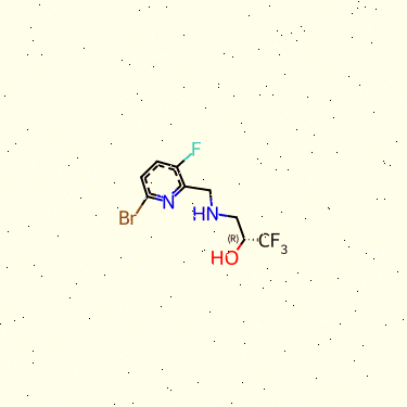 O[C@H](CNCc1nc(Br)ccc1F)C(F)(F)F